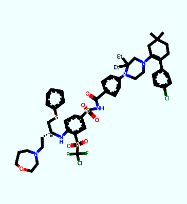 CCC1(CC)CN(C2=C(c3ccc(Cl)cc3)CCC(C)(C)C2)CCN1c1ccc(C(=O)NS(=O)(=O)c2ccc(N[C@H](CCN3CCCOCC3)CSc3ccccc3)c(S(=O)(=O)C(F)(F)Cl)c2)cc1